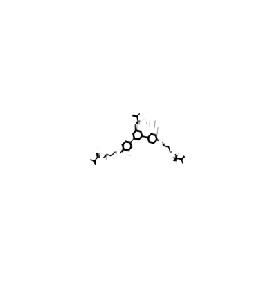 C=C(C)C(=O)OCCCOc1ccc(-c2cc(OC(O)C(=C)C)cc(-c3ccc(OCCCOC(=O)C(=C)C)c(F)c3)c2)cc1F